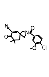 COc1cc(C(=O)N2CC3(C=C(C#N)C(=O)C(C)(C)C3)C2)ccc1Cl